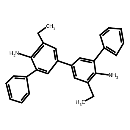 CCc1cc(-c2cc(CC)c(N)c(-c3ccccc3)c2)cc(-c2ccccc2)c1N